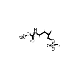 CC(CCNC(=O)OC(C)(C)C)COS(C)(=O)=O